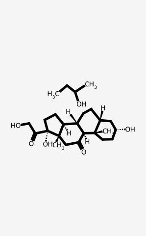 CCC(C)O.C[C@]12CC[C@@H](O)C[C@H]1CC[C@@H]1[C@@H]2C(=O)C[C@@]2(C)[C@H]1CC[C@]2(O)C(=O)CO